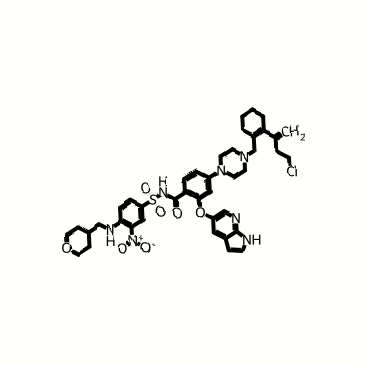 C=C(CCCl)C1=C(CN2CCN(c3ccc(C(=O)NS(=O)(=O)c4ccc(NCC5CCOCC5)c([N+](=O)[O-])c4)c(Oc4cnc5[nH]ccc5c4)c3)CC2)CCCC1